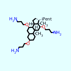 CCC[C@@H](C)[C@H]1CC[C@H]2C3[C@H](OCCCN)CC4C[C@H](OCCCN)CC[C@]4(C)[C@H]3C[C@H](OCCCN)[C@]12C